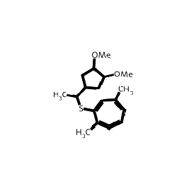 COC1CC(C(C)SC2=CC(C)=CC=C=C2C)CC1OC